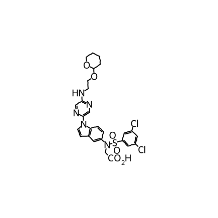 O=C(O)CN(c1ccc2c(ccn2-c2cnc(NCCOC3CCCCO3)cn2)c1)S(=O)(=O)c1cc(Cl)cc(Cl)c1